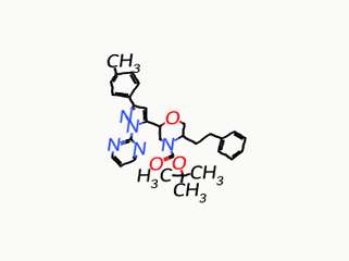 Cc1ccc(-c2cc(C3CN(C(=O)OC(C)(C)C)C(CCc4ccccc4)CO3)n(-c3ncccn3)n2)cc1